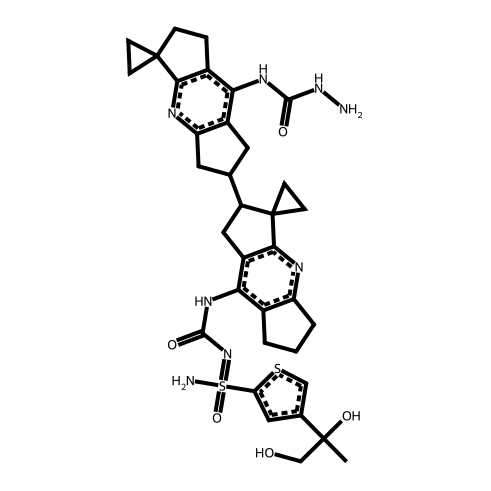 CC(O)(CO)c1csc(S(N)(=O)=NC(=O)Nc2c3c(nc4c2CC(C2Cc5nc6c(c(NC(=O)NN)c5C2)CCC62CC2)C42CC2)CCC3)c1